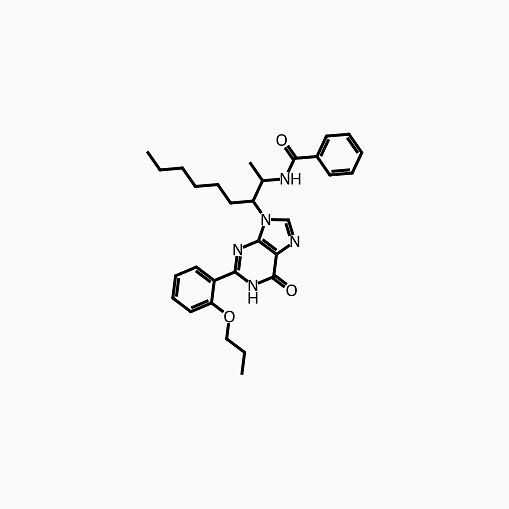 CCCCCCC(C(C)NC(=O)c1ccccc1)n1cnc2c(=O)[nH]c(-c3ccccc3OCCC)nc21